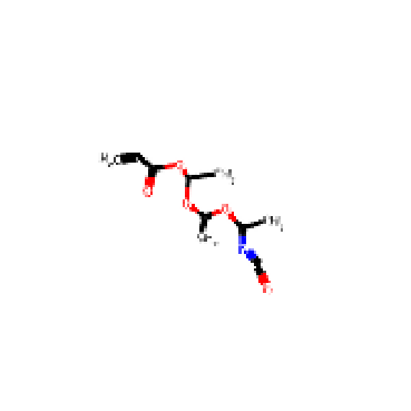 C=CC(=O)OC(C)OC(C)OC(C)N=C=O